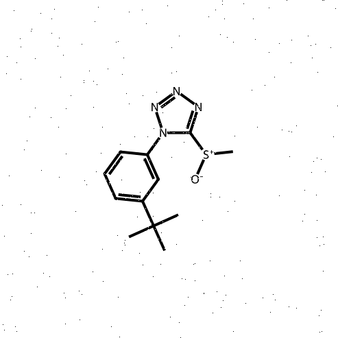 C[S+]([O-])c1nnnn1-c1cccc(C(C)(C)C)c1